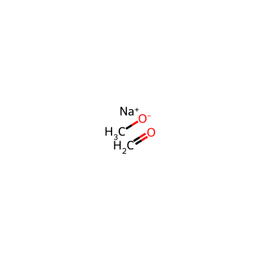 C=O.C[O-].[Na+]